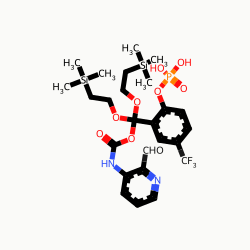 C[Si](C)(C)CCOC(OCC[Si](C)(C)C)(OC(=O)Nc1cccnc1C=O)c1cc(C(F)(F)F)ccc1OP(=O)(O)O